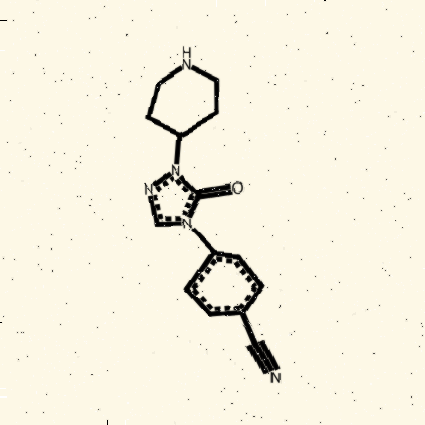 N#Cc1ccc(-n2cnn(C3CCNCC3)c2=O)cc1